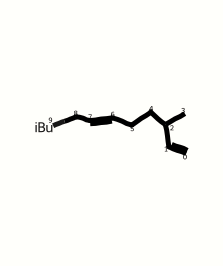 C=CC(C)CCC=CCC(C)CC